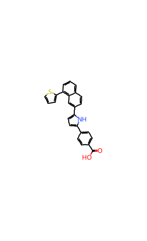 O=C(O)c1ccc(-c2ccc(-c3ccc4cccc(-c5cccs5)c4c3)[nH]2)cc1